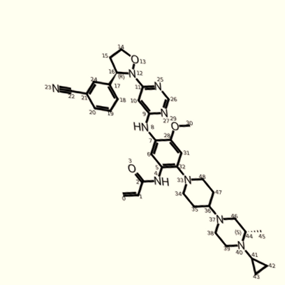 C=CC(=O)Nc1cc(Nc2cc(N3OCC[C@@H]3c3cccc(C#N)c3)ncn2)c(OC)cc1N1CCC(N2CCN(C3CC3)[C@@H](C)C2)CC1